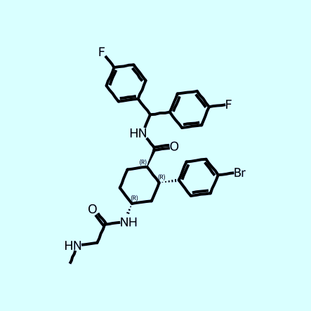 CNCC(=O)N[C@@H]1CC[C@@H](C(=O)NC(c2ccc(F)cc2)c2ccc(F)cc2)[C@H](c2ccc(Br)cc2)C1